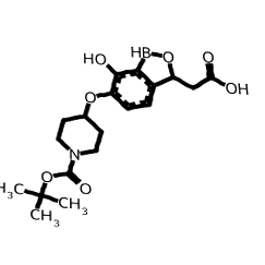 CC(C)(C)OC(=O)N1CCC(Oc2ccc3c(c2O)BOC3CC(=O)O)CC1